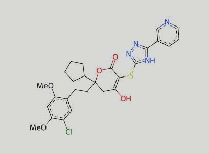 COc1cc(OC)c(CCC2(C3CCCC3)CC(O)=C(Sc3nnc(-c4cccnc4)[nH]3)C(=O)O2)cc1Cl